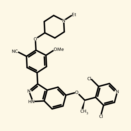 CCN1CCC(Oc2c(C#N)cc(-c3n[nH]c4ccc(O[C@H](C)c5c(Cl)cncc5Cl)cc34)cc2OC)CC1